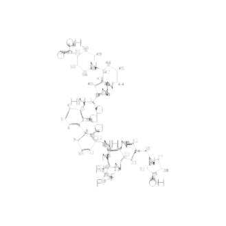 O=C(Nc1cccc(-c2cccc(Nc3nc(C(F)(F)F)nc4cc(CN5CC[C@@H](O)C5)cnc34)c2Cl)c1Cl)c1cc2n(n1)CCC[C@@H]2N1CCC(C(=O)O)CC1